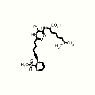 CC(C)[C@H](NC(=O)CCCC#CN1C=CC=NC1S(C)(=O)=O)C(=O)N[C@@H](CCCCN(C)C)C(=O)O